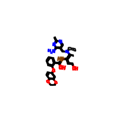 C/C(=C(CCO)/[SH]=C(\O)c1ccccc1Oc1ccc2c(c1)OCCO2)N(C=O)Cc1cnc(C)nc1N